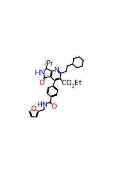 CCOC(=O)c1c(CCC2CCCCC2)nc2c(c1-c1ccc(C(=O)NCc3ccco3)cc1)C(=O)NC2C(C)C